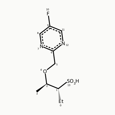 CC[C@H]([C@@H](C)OCc1ncc(F)cn1)S(=O)(=O)O